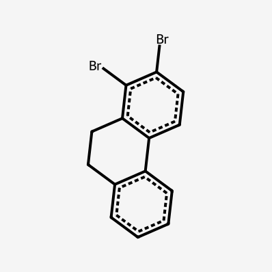 Brc1ccc2c(c1Br)CCc1ccccc1-2